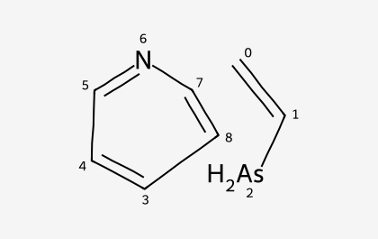 C=C[AsH2].c1ccncc1